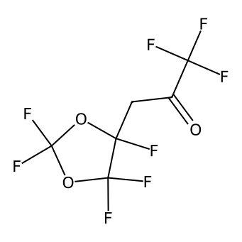 O=C(CC1(F)OC(F)(F)OC1(F)F)C(F)(F)F